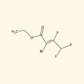 CCOC(=O)C(Br)=C(F)C(F)F